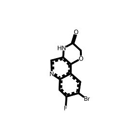 O=C1COc2c(cnc3cc(F)c(Br)cc23)N1